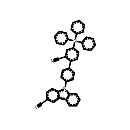 N#Cc1ccc2c(c1)c1ccccc1n2-c1ccc(-c2ccc([Si](c3ccccc3)(c3ccccc3)c3ccccc3)cc2C#N)cc1